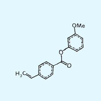 C=Cc1ccc(C(=O)Oc2cccc(OC)c2)cc1